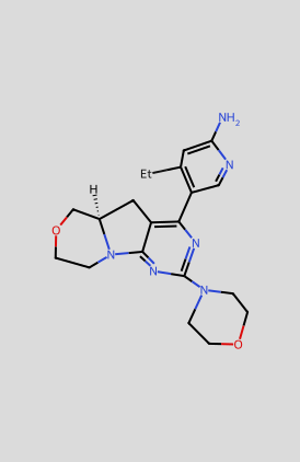 CCc1cc(N)ncc1-c1nc(N2CCOCC2)nc2c1C[C@@H]1COCCN21